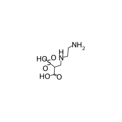 NCCNCC(C(=O)O)S(=O)(=O)O